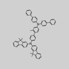 Cc1cc(N(c2ccc(-c3ccccc3)cc2)c2ccc(-c3ccccc3)cc2)ccc1-c1ccc(N(c2ccc3c(c2)C(C)(C)c2ccccc2-3)c2ccc3c(c2)C(C)(C)c2ccccc2-3)cc1